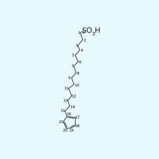 O=S(=O)(O)CCCCCCCCCCCCCCCc1ccccc1